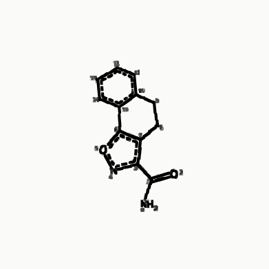 NC(=O)c1noc2c1CCc1ccccc1-2